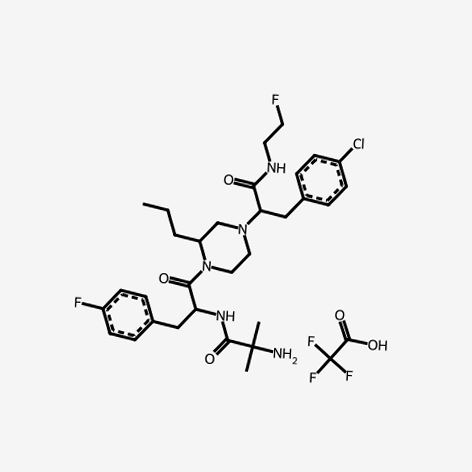 CCCC1CN(C(Cc2ccc(Cl)cc2)C(=O)NCCF)CCN1C(=O)C(Cc1ccc(F)cc1)NC(=O)C(C)(C)N.O=C(O)C(F)(F)F